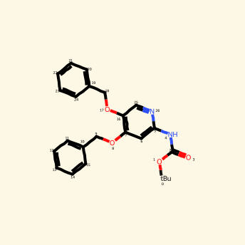 CC(C)(C)OC(=O)Nc1cc(OCc2ccccc2)c(OCc2ccccc2)cn1